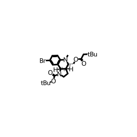 CN1c2ccc(Br)cc2[C@@H]2[C@@H](CCN2C(=O)OC(C)(C)C)[C@H]1COC(=O)CC(C)(C)C